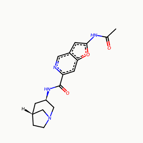 CC(=O)Nc1cc2cnc(C(=O)N[C@@H]3C[C@H]4CCN(C4)C3)cc2o1